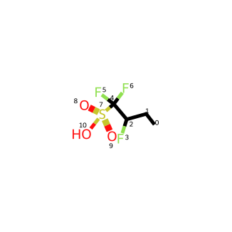 CCC(F)C(F)(F)S(=O)(=O)O